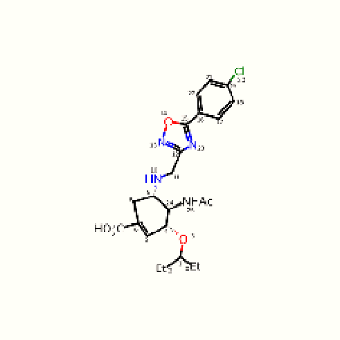 CCC(CC)O[C@@H]1C=C(C(=O)O)C[C@H](NCc2noc(-c3ccc(Cl)cc3)n2)[C@H]1NC(C)=O